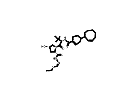 CCS/C=N\NC(=O)[C@@H]1C[C@@H](O)CN1C(=O)[C@@H](NC(=O)C1=CCC(C2/C=C\CCCCC2)CC1)C(C)(C)C